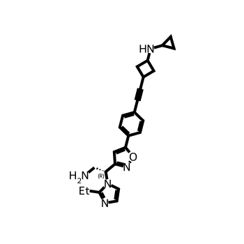 CCc1nccn1[C@H](CN)c1cc(-c2ccc(C#CC3CC(NC4CC4)C3)cc2)on1